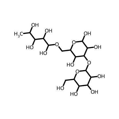 CC(O)C(O)C(O)C(O)OCC1OC(O)C(O)C(OC2OC(CO)C(O)C(O)C2O)C1O